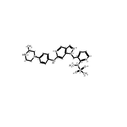 C[C@H]1CN(c2ccc(Nc3cc4c(cn3)cnn4Cc3cccnc3N(C)S(C)(=O)=O)cc2)CCN1